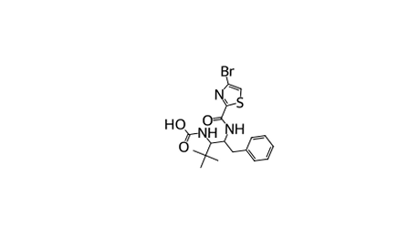 CC(C)(C)C(NC(=O)O)C(Cc1ccccc1)NC(=O)c1nc(Br)cs1